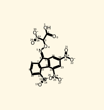 O=C(O)C(ON=C1c2cccc([N+](=O)[O-])c2-c2c1cc([N+](=O)[O-])cc2[N+](=O)[O-])[N+](=O)[O-]